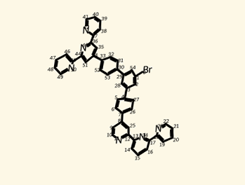 Brc1cc(-c2ccc(-c3ccnc(-c4cccc(-c5ccccn5)n4)c3)cc2)cc(-c2ccc(-c3cc(-c4ccccn4)nc(-c4ccccn4)c3)cc2)c1